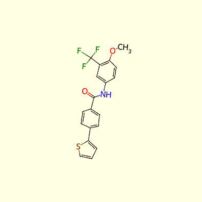 COc1ccc(NC(=O)c2ccc(-c3cccs3)cc2)cc1C(F)(F)F